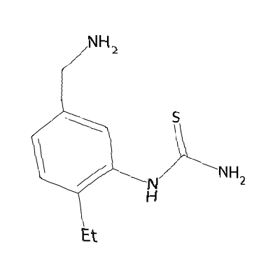 CCc1ccc(CN)cc1NC(N)=S